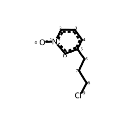 [O-][n+]1cccc(CCCCl)c1